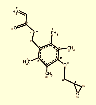 C=CC(=O)NCc1c(C)c(C)c(OCC2CO2)c(C)c1C